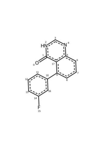 O=c1[nH]cnc2cccc(-c3cccc(F)c3)c12